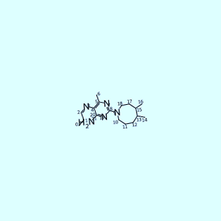 CC/C=N\c1c(C)nc(N2CCCC(C)C(C)CC2)nc1N